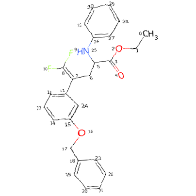 CCOC(=O)C(CC(=C(F)F)c1cccc(OCc2ccccc2)c1)Nc1ccccc1